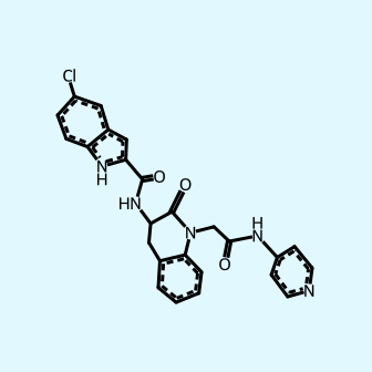 O=C(CN1C(=O)C(NC(=O)c2cc3cc(Cl)ccc3[nH]2)Cc2ccccc21)Nc1ccncc1